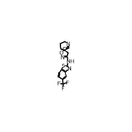 FC(F)(F)c1ccc2sc(NC3=NOC4(C3)CN3CCC4CC3)nc2c1